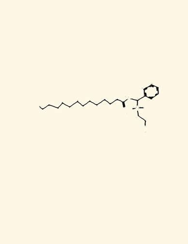 CCCCCCCCCCCCCC(=O)NC(c1ccccc1)[N+](C)(C)CCC